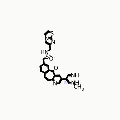 CN/C=C(\C=N)c1cnc2ccc3ccc(C[S+]([O-])NCc4cn5ccsc5n4)cc3c(=O)c2c1